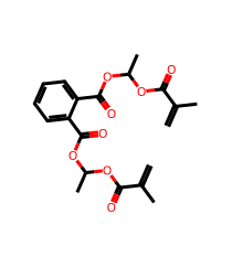 C=C(C)C(=O)OC(C)OC(=O)c1ccccc1C(=O)OC(C)OC(=O)C(=C)C